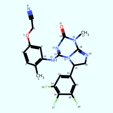 Cc1ccc(OCC#N)cc1NC1=NC(=O)N(C)C2=NCC(c3cc(F)c(F)c(F)c3)N12